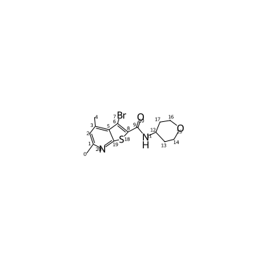 Cc1cc(C)c2c(Br)c(C(=O)NC3CCOCC3)sc2n1